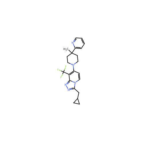 CC1(c2ccccn2)CCN(c2ccn3c(CC4CC4)nnc3c2C(F)(F)F)CC1